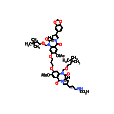 COc1cc2c(cc1OCCCOc1cc3c(cc1OC)C(=O)N1C=C(c4ccc5c(c4)OCO5)C[C@H]1C(=O)N3COCC[Si](C)(C)C)N(COCC[Si](C)(C)C)C(=O)[C@@H]1CC(/C=C/CNC(=O)O)=CN1C2=O